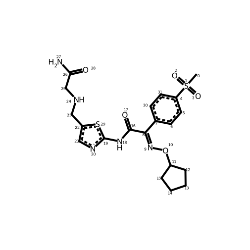 CS(=O)(=O)c1ccc(/C(=N\OC2CCCC2)C(=O)Nc2ncc(CNCC(N)=O)s2)cc1